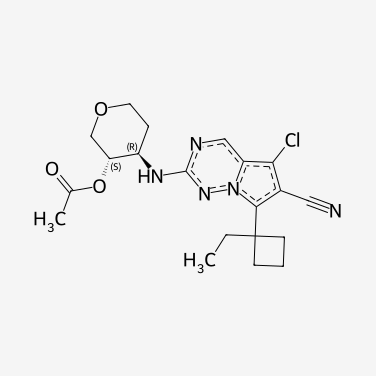 CCC1(c2c(C#N)c(Cl)c3cnc(N[C@@H]4CCOC[C@H]4OC(C)=O)nn23)CCC1